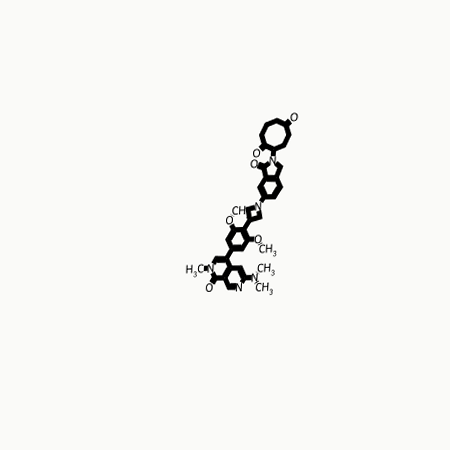 COc1cc(-c2cn(C)c(=O)c3cnc(N(C)C)cc23)cc(OC)c1C1CN(c2ccc3c(c2)C(=O)N(C2CCC(=O)CCCC2=O)C3)C1